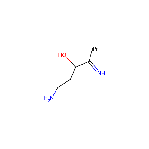 CC(C)C(=N)C(O)CCN